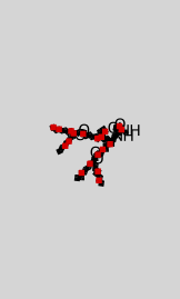 CCCCCCCCC(CCCCCCCC)COC(=O)CCCCCN(CCNc1c(NC)c(=O)c1=O)CCN(CCCCCC(=O)OCC(CCCCCCCC)CCCCCCCC)C1CCC1